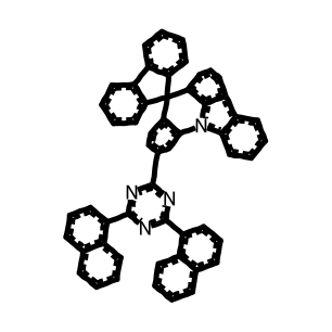 c1ccc2c(c1)-c1ccccc1C21c2ccc(-c3nc(-c4cccc5ccccc45)nc(-c4cccc5ccccc45)n3)cc2-n2c3ccccc3c3cccc1c32